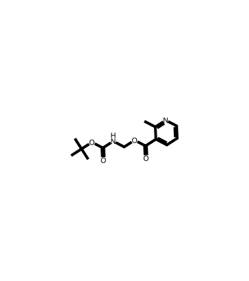 Cc1ncccc1C(=O)OCNC(=O)OC(C)(C)C